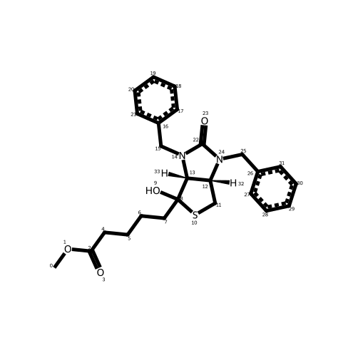 COC(=O)CCCCC1(O)SC[C@@H]2[C@H]1N(Cc1ccccc1)C(=O)N2Cc1ccccc1